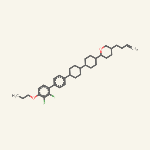 C=CCCC1CCC(C2CCC(C3CCC(c4ccc(-c5ccc(OCCC)c(F)c5F)cc4)CC3)CC2)OC1